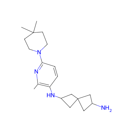 Cc1nc(N2CCC(C)(C)CC2)ccc1NC1CC2(CC(N)C2)C1